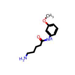 COc1cccc(NC(=O)CCCCN)c1